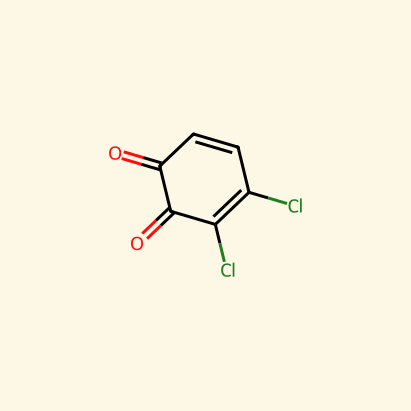 O=C1C=CC(Cl)=C(Cl)C1=O